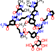 CCc1nc(C)oc1C(=O)Nc1nc2cc(C(N)=O)cc(OCCCN(C)C(=O)OCc3ccc(O[C@@H]4O[C@H](C(=O)O)[C@@H](O)[C@H](O)[C@H]4O)c(NC(=O)CCNC(=O)CCN4C(=O)C=CC4=O)c3)c2n1C/C=C/Cn1c2cc(-c3cc(C)nn3CC)cnc2c2cc(C(N)=O)cc(OC)c21